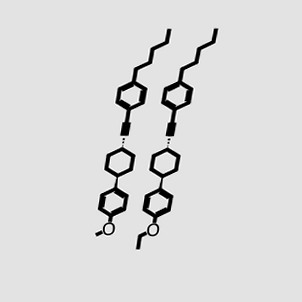 CCCCCc1ccc(C#C[C@H]2CC[C@H](c3ccc(OC)cc3)CC2)cc1.CCCCCc1ccc(C#C[C@H]2CC[C@H](c3ccc(OCC)cc3)CC2)cc1